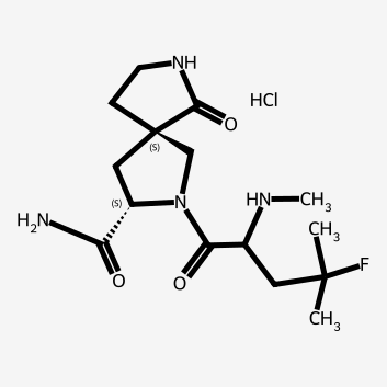 CNC(CC(C)(C)F)C(=O)N1C[C@]2(CCNC2=O)C[C@H]1C(N)=O.Cl